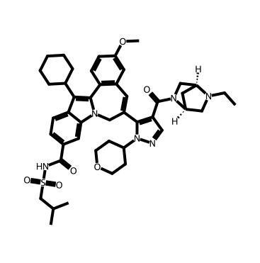 CCN1C[C@@H]2C[C@H]1CN2C(=O)c1cnn(C2CCOCC2)c1C1=Cc2cc(OC)ccc2-c2c(C3CCCCC3)c3ccc(C(=O)NS(=O)(=O)CC(C)C)cc3n2C1